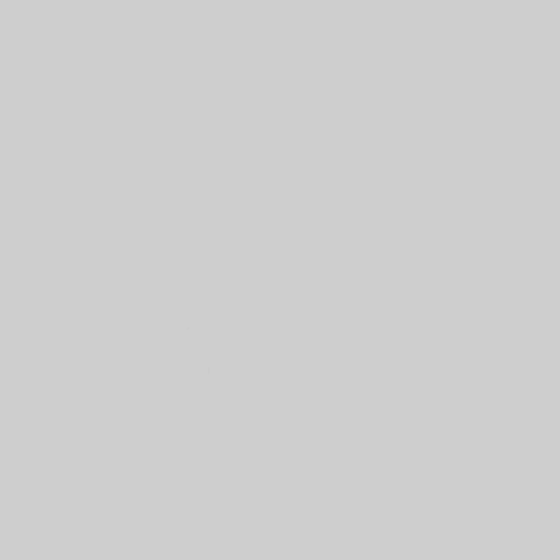 O=C(O)C/C=C\CCCCCCCCCCCCCC(=O)O